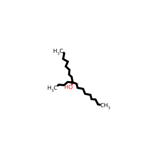 CCCCCCCC[CH]C(O)(CCCC)CCCCCCCC